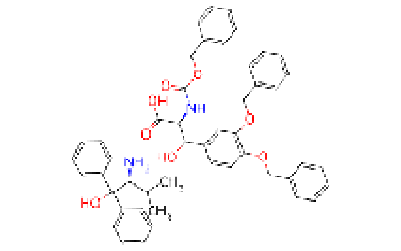 CC(C)[C@H](N)C(O)(c1ccccc1)c1ccccc1.O=C(N[C@H](C(=O)O)C(O)c1ccc(OCc2ccccc2)c(OCc2ccccc2)c1)OCc1ccccc1